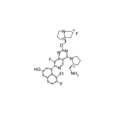 CCc1c(F)ccc2cc(O)cc(-c3ncc4c(N5CCC[C@H]5CN)nc(OC[C@@]56CCCN5C[C@H](F)C6)nc4c3F)c12